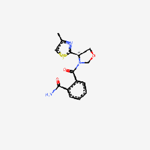 Cc1csc([C@H]2COCN2C(=O)c2ccccc2C(N)=O)n1